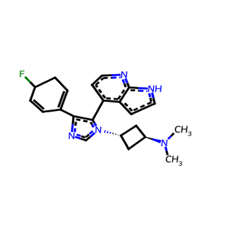 CN(C)[C@H]1C[C@H](n2cnc(C3=CCC(F)C=C3)c2-c2ccnc3[nH]ccc23)C1